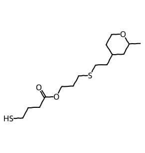 CC1CC(CCSCCCOC(=O)CCCS)CCO1